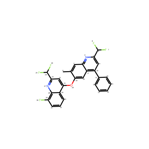 Cc1cc2nc(C(F)F)cc(-c3ccccc3)c2cc1Oc1cc(C(F)F)nc2c(F)cccc12